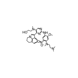 COc1cc(N(C)CCN(C)C)c([N+](=O)[O-])cc1Nc1ncc(N(C)CCO)c(-c2cn3c4c(cccc24)CCC3)n1